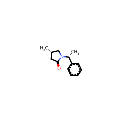 C[C@H]1CC(=O)N([C@H](C)c2ccccc2)C1